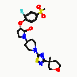 CC1(c2nsc(N3CCC(N4CC[C@H](Oc5ccc(S(C)(=O)=O)cc5F)C4=O)CC3)n2)CCOCC1